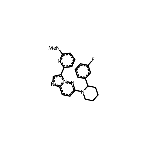 CNc1cccc(-c2cnc3ccc(N4CCCCC4c4cccc(F)c4)nn23)n1